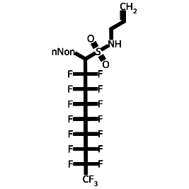 C=CCNS(=O)(=O)C(CCCCCCCCC)C(F)(F)C(F)(F)C(F)(F)C(F)(F)C(F)(F)C(F)(F)C(F)(F)C(F)(F)F